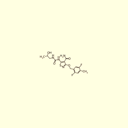 Cc1cc(F)c(COc2nsc(NC(=O)NCC(C)O)c2C(N)=O)cc1F